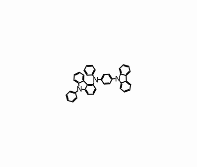 c1ccc(N(c2ccc(-n3c4ccccc4c4ccccc43)cc2)c2cccc3c2c2ccccc2n3-c2ccccc2)cc1